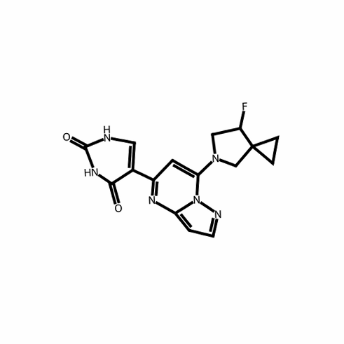 O=c1[nH]cc(-c2cc(N3CC(F)C4(CC4)C3)n3nccc3n2)c(=O)[nH]1